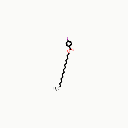 CCCCCCCCCCCCCCCCOC(=O)c1ccc(I)cc1